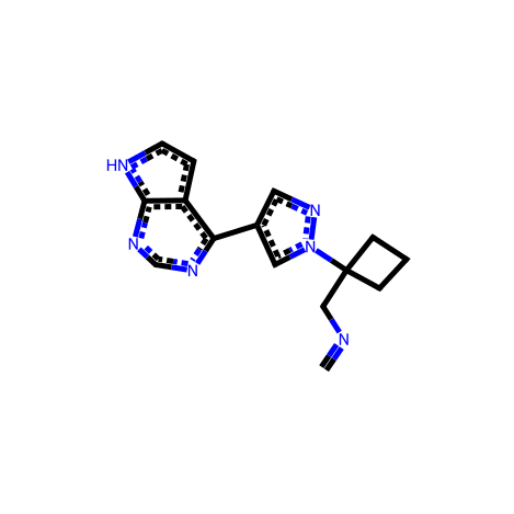 C=NCC1(n2cc(-c3ncnc4[nH]ccc34)cn2)CCC1